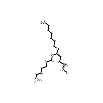 CCCCCCCCCCCCCCCCOC(CC[SiH2]OCC)OCCCCCCCCCCCCCCCC